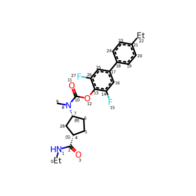 CCNC(=O)[C@H]1CC[C@@H](N(C)C(=O)Oc2c(F)cc(-c3ccc(CC)cc3)cc2F)C1